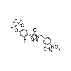 Cc1cc(Cn2nnn(-c3cc4c(cc3F)OC(F)(F)C(F)(F)O4)c2=O)ccc1[N+](=O)[O-]